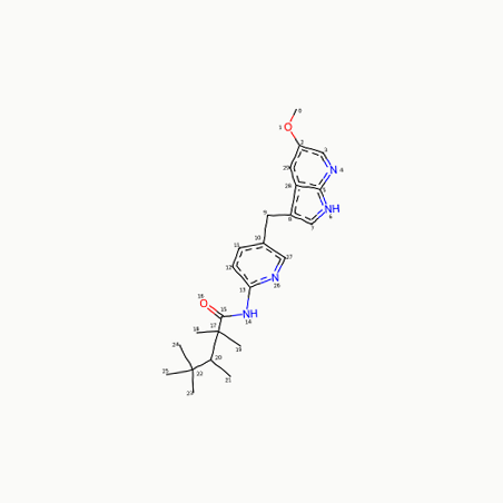 COc1cnc2[nH]cc(Cc3ccc(NC(=O)C(C)(C)C(C)C(C)(C)C)nc3)c2c1